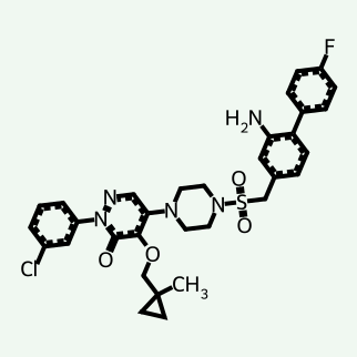 CC1(COc2c(N3CCN(S(=O)(=O)Cc4ccc(-c5ccc(F)cc5)c(N)c4)CC3)cnn(-c3cccc(Cl)c3)c2=O)CC1